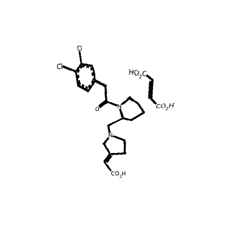 O=C(O)/C=C/C(=O)O.O=C(O)C=C1CCN(CC2CCCCN2C(=O)Cc2ccc(Cl)c(Cl)c2)C1